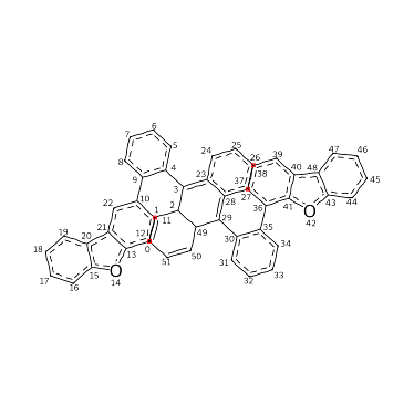 C1=CC2C(c3ccccc3-c3ccc4oc5ccccc5c4c3)=c3ccccc3=C(c3ccccc3-c3cccc4c3oc3ccccc34)C2C=C1